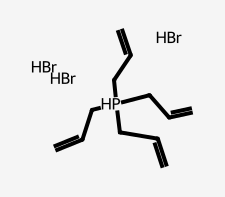 Br.Br.Br.C=CC[PH](CC=C)(CC=C)CC=C